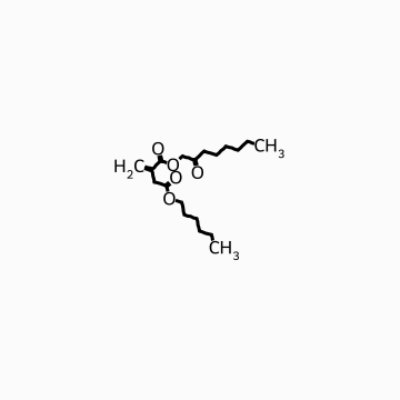 C=C(CC(=O)OCCCCCC)C(=O)OCC(=O)CCCCCC